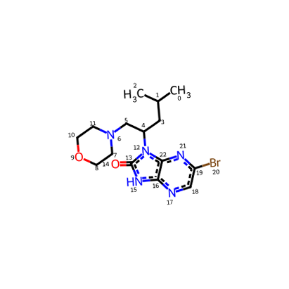 CC(C)CC(CN1CCOCC1)n1c(=O)[nH]c2ncc(Br)nc21